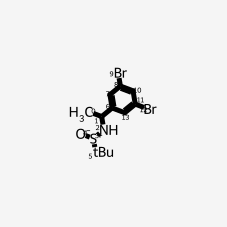 CC(N[S+]([O-])C(C)(C)C)c1cc(Br)cc(Br)c1